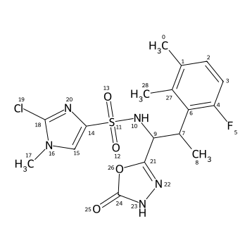 Cc1ccc(F)c(C(C)C(NS(=O)(=O)c2cn(C)c(Cl)n2)c2n[nH]c(=O)o2)c1C